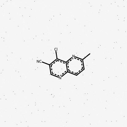 Cc1ccc2ncc(C#N)c(Cl)c2n1